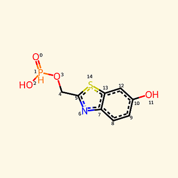 O=[PH](O)OCc1nc2ccc(O)cc2s1